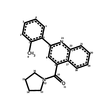 Cc1ccccc1-c1cc(C(=O)N2CCCC2)c2ccccc2n1